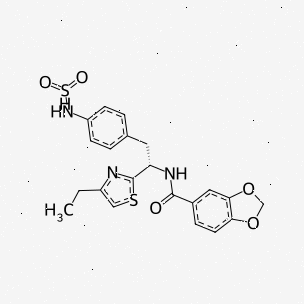 CCc1csc([C@H](Cc2ccc(N[SH](=O)=O)cc2)NC(=O)c2ccc3c(c2)OCO3)n1